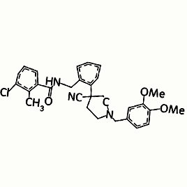 COc1ccc(CN2CCC(C#N)(c3ccccc3CNC(=O)c3cccc(Cl)c3C)CC2)cc1OC